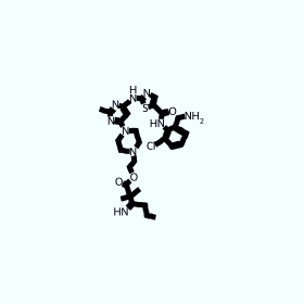 CCCC(=N)C(C)(C)C(=O)OCCN1CCN(c2cc(Nc3ncc(C(=O)Nc4c(Cl)cccc4CN)s3)nc(C)n2)CC1